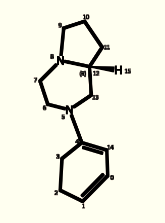 C1=CCCC(N2CCN3CCC[C@@H]3C2)=C1